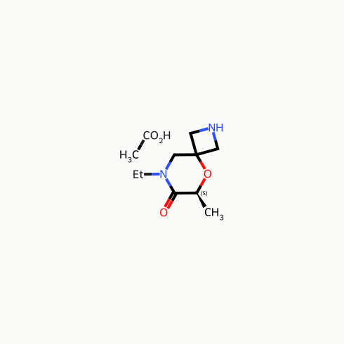 CC(=O)O.CCN1CC2(CNC2)O[C@@H](C)C1=O